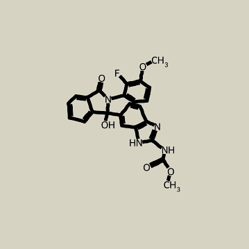 COC(=O)Nc1nc2ccc(C3(O)c4ccccc4C(=O)N3c3cccc(OC)c3F)cc2[nH]1